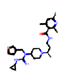 Cc1cc(F)nc(C)c1C(=O)NCC[C@@H](C)N1CCC(N(Cc2ccsc2)C(=N)NC2CC2)CC1